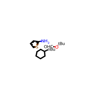 CC(C)(C)OC=O.CCCCC1CCCCC1.Nc1cccs1